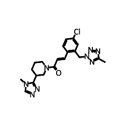 Cc1nnn(Cc2cc(Cl)ccc2C=CC(=O)N2CCCC(c3nncn3C)C2)n1